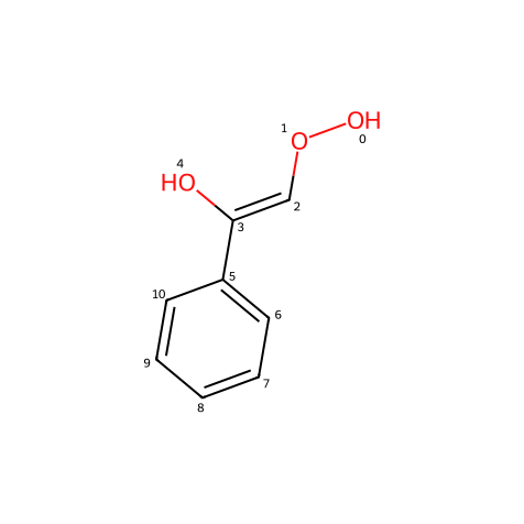 OOC=C(O)c1ccccc1